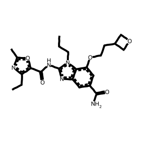 CCCn1c(NC(=O)c2oc(C)nc2CC)nc2cc(C(N)=O)cc(OCCC3COC3)c21